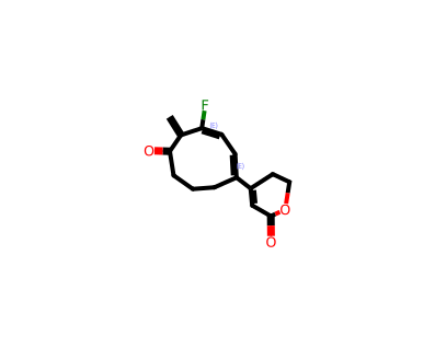 C=C1C(=O)CCC/C(C2=CC(=O)OCC2)=C\C=C/1F